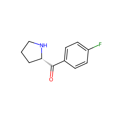 O=C(c1ccc(F)cc1)[C@@H]1CCCN1